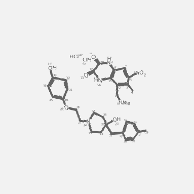 CNCc1c(C)c([N+](=O)[O-])cc2[nH]c(=O)c(=O)[nH]c12.Cc1ccc(CC2(O)CCN(CCOc3ccc(O)cc3)CC2)cc1.Cl.Cl